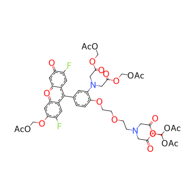 CC(=O)OCOC(=O)CN(CCOCCOc1ccc(-c2c3cc(F)c(=O)cc-3oc3cc(OCOC(C)=O)c(F)cc23)cc1N(CC(=O)OCOC(C)=O)CC(=O)OCOC(C)=O)CC(=O)OCOC(C)=O